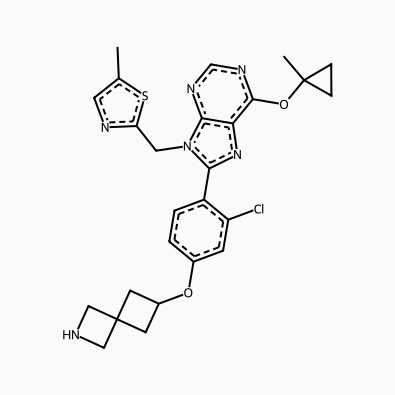 Cc1cnc(Cn2c(-c3ccc(OC4CC5(CNC5)C4)cc3Cl)nc3c(OC4(C)CC4)ncnc32)s1